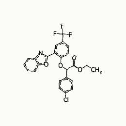 CCOC(=O)C(Oc1ccc(C(F)(F)F)cc1-c1nc2ccccc2o1)c1ccc(Cl)cc1